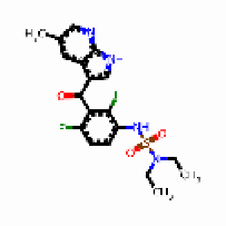 CCN(CC)S(=O)(=O)Nc1ccc(F)c(C(=O)c2c[nH]c3ncc(C)cc23)c1F